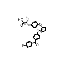 CO[C@@H](Cc1ccc(O[C@H]2CCC[C@H]2Oc2ccc(C(=O)c3ccc(F)cc3)cc2)cc1)C(=O)O